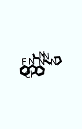 CC1N=C(c2ccccc2F)c2c(Cl)cccc2-n2c(CN3CCCC3)nnc21